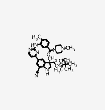 Cc1ccc(C(=O)N2CCN(C)CC2)cc1Nc1nccc(-c2cc(C#N)c3c(c2)[C@@](C)(CO[Si](C)(C)C(C)(C)C)CN3)n1